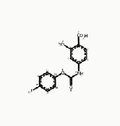 O=C(Nc1ccc(C(=O)O)c(O)c1)Oc1ccc(F)cc1